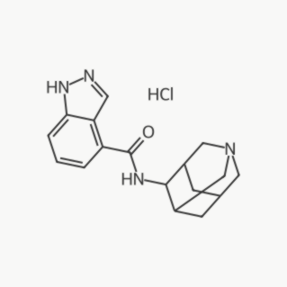 Cl.O=C(NC1C2CC3CC1CN(C3)C2)c1cccc2[nH]ncc12